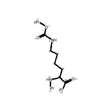 CCCOC(=O)NCCCCC(NC(C)C)C(=O)C(C)C